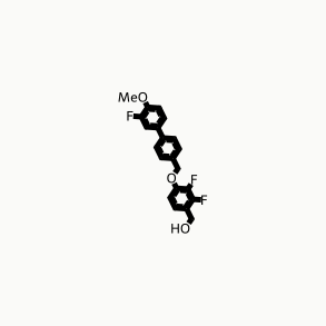 COc1ccc(-c2ccc(COc3ccc(CO)c(F)c3F)cc2)cc1F